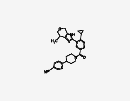 CC1COCc2[nH]c(-c3cc(C(=O)N4CCC(c5ccc(C#N)cc5)CC4)ccc3C3CC3)nc21